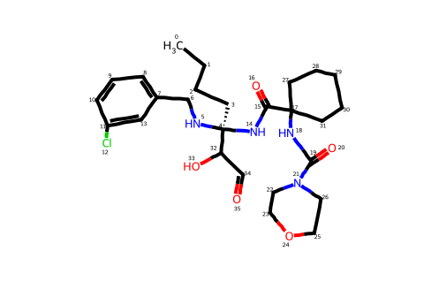 CCCC[C@](NCc1cccc(Cl)c1)(NC(=O)C1(NC(=O)N2CCOCC2)CCCCC1)C(O)C=O